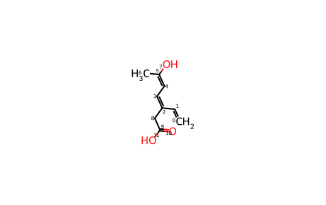 C=C/C(=C\C=C(/C)O)CC(=O)O